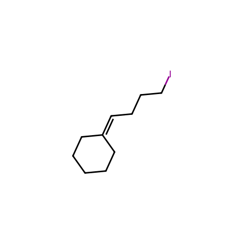 ICCCC=C1CCCCC1